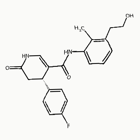 Cc1c(CCO)cccc1NC(=O)C1=CNC(=O)C[C@H]1c1ccc(F)cc1